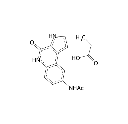 CC(=O)Nc1ccc2[nH]c(=O)c3[nH]ccc3c2c1.CCC(=O)O